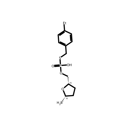 B[C@H]1CC[C@@H](COP(=O)(O)SCc2ccc(CC)cc2)O1